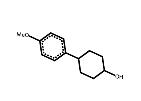 COc1ccc(C2CCC(O)CC2)cc1